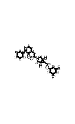 O=C(Cc1ccnn(-c2ccccc2)c1=O)N1C[C@@H]2C(COc3cc(F)cc(F)c3)[C@@H]2C1